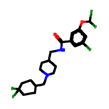 O=C(NCC1CCN(CC2CCC(F)(F)CC2)CC1)c1cc(F)cc(OC(F)F)c1